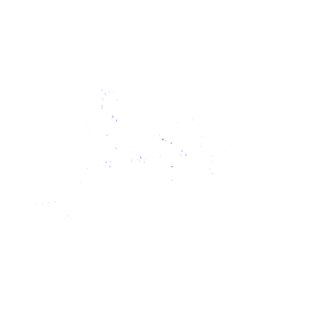 CCSC1=C(C(=O)O)N2C(=O)C(NC(=O)C(=NOCCC(=O)O)c3csc(N)n3)[C@@H]2SC1